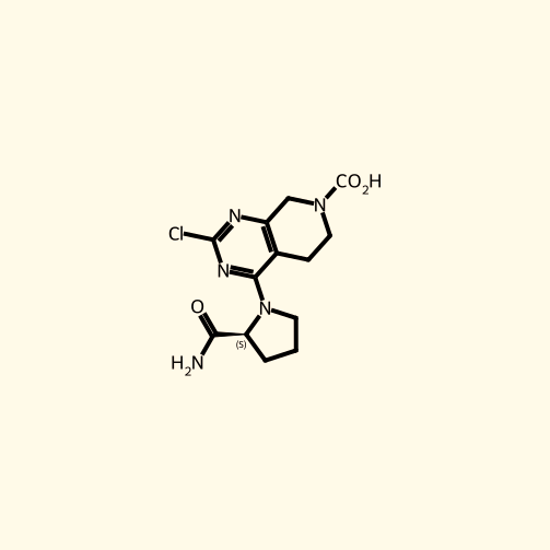 NC(=O)[C@@H]1CCCN1c1nc(Cl)nc2c1CCN(C(=O)O)C2